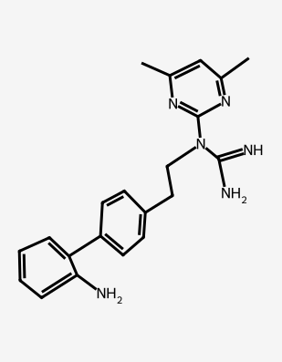 Cc1cc(C)nc(N(CCc2ccc(-c3ccccc3N)cc2)C(=N)N)n1